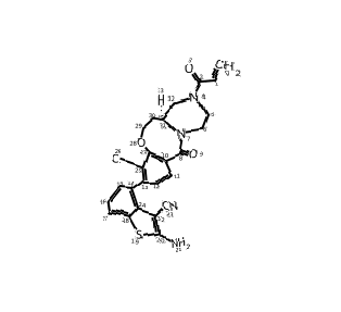 C=CC(=O)N1CCN2C(=O)c3ccc(-c4cccc5sc(N)c(C#N)c45)c(Cl)c3OCC[C@H]2C1